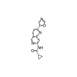 O=C(Nc1cc2nc(-c3cnco3)ccc2cn1)C1CC1